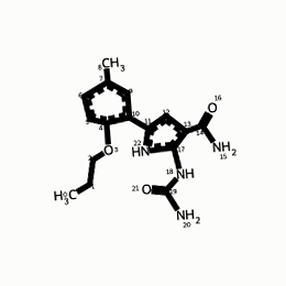 CCCOc1ccc(C)cc1-c1cc(C(N)=O)c(NC(N)=O)[nH]1